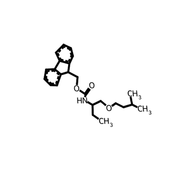 CCC(COCCC(C)C)NC(=O)OCC1c2ccccc2-c2ccccc21